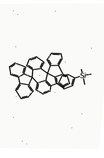 C[Si](C)(C)c1ccc(-c2cccc3c2C2(c4ccccc4-c4ccccc42)c2ccccc2C32c3ccccc3-c3ccccc32)cc1